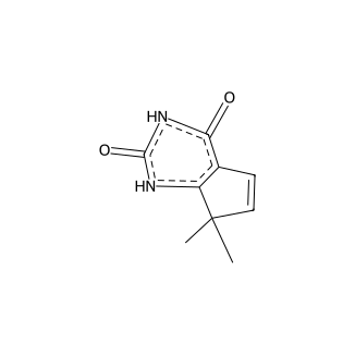 CC1(C)C=Cc2c1[nH]c(=O)[nH]c2=O